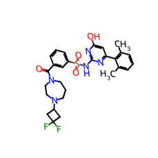 Cc1cccc(C)c1-c1cc(O)nc(NS(=O)(=O)c2cccc(C(=O)N3CCCN(C4CC(F)(F)C4)CC3)c2)n1